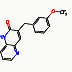 O=c1[nH]c2cccnc2cc1Cc1cccc(OC(F)(F)F)c1